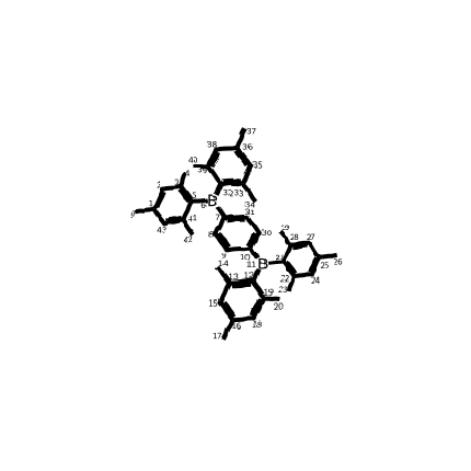 Cc1cc(C)c(B(c2ccc(B(c3c(C)cc(C)cc3C)c3c(C)cc(C)cc3C)cc2)c2c(C)cc(C)cc2C)c(C)c1